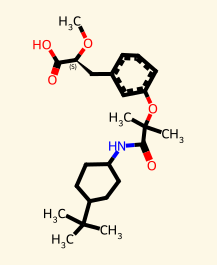 CO[C@@H](Cc1cccc(OC(C)(C)C(=O)NC2CCC(C(C)(C)C)CC2)c1)C(=O)O